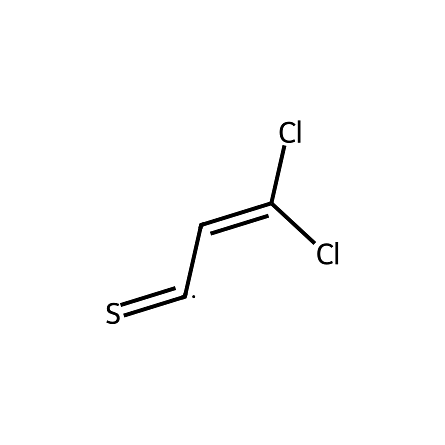 S=[C]C=C(Cl)Cl